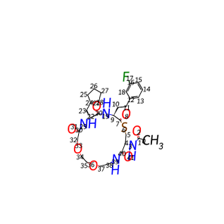 CC(=O)N[C@H]1CSC(=O)[C@H](CCc2cccc(F)c2)NC(=O)[C@H](CC2CCCC2)NC(=O)COCCOCCNC1=O